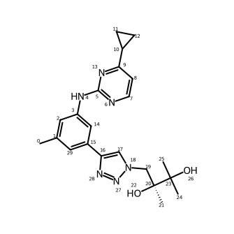 Cc1cc(Nc2nccc(C3CC3)n2)cc(-c2cn(C[C@](C)(O)C(C)(C)O)nn2)c1